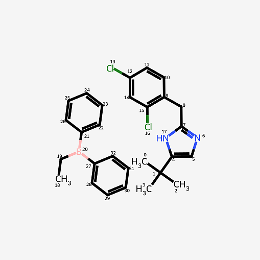 CC(C)(C)c1cnc(Cc2ccc(Cl)cc2Cl)[nH]1.CCB(c1ccccc1)c1ccccc1